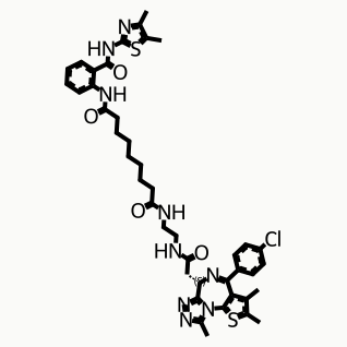 Cc1nc(NC(=O)c2ccccc2NC(=O)CCCCCCCC(=O)NCCNC(=O)C[C@@H]2N=C(c3ccc(Cl)cc3)c3c(sc(C)c3C)-n3c(C)nnc32)sc1C